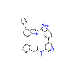 C=C(Cc1ccccc1)Nc1cncc(-c2ccc3[nH]nc(-c4cc5c(C6=CCC=C6)cccc5[nH]4)c3c2)c1